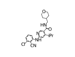 CC(C)c1cc(Nc2cccc(Cl)c2C#N)ncc1C(=O)NCC1CCOCC1